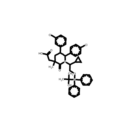 CC1(CC(=O)O)CC(c2cccc(Cl)c2)C(c2ccc(Cl)cc2)N(C(CO[Si](c2ccccc2)(c2ccccc2)C(C)(C)C)C2CC2)C1=O